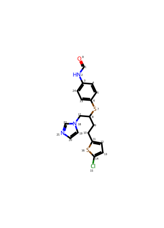 O=CNc1ccc(SC(CCc2ccc(Cl)s2)Cn2ccnc2)cc1